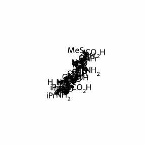 CSCC[C@H](NC(=O)[C@H](CC(C)C)NC(=O)[C@H](Cc1c[nH]cn1)NC(=O)[C@H](CC(N)=O)NC(=O)[C@H](C)NC(=O)[C@H](CO)NC(=O)[C@@H]1CCCN1C(=O)[C@H](CC(=O)O)NC(=O)[C@H](CC(N)=O)NC(=O)[C@H](CCC(=O)O)NC(=O)[C@@H]1CCCN1C(=O)[C@H](CC(C)C)NC(=O)[C@@H](N)CC(C)C)C(=O)O